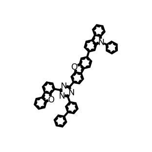 c1ccc(-c2cccc(-c3nc(-c4ccc5c(c4)oc4cc(-c6ccc7c8ccccc8n(-c8ccccc8)c7c6)ccc45)nc(-c4cccc5c4oc4ccccc45)n3)c2)cc1